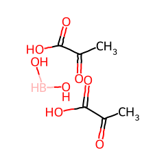 CC(=O)C(=O)O.CC(=O)C(=O)O.OBO